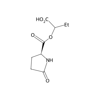 CCC(OC(=O)[C@@H]1CCC(=O)N1)C(=O)O